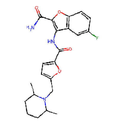 CC1CCCC(C)N1Cc1ccc(C(=O)Nc2c(C(N)=O)oc3ccc(F)cc23)o1